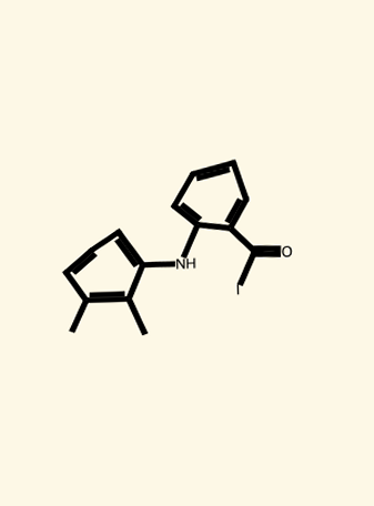 Cc1cccc(Nc2ccccc2C(=O)I)c1C